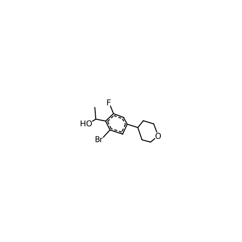 CC(O)c1c(F)cc(C2CCOCC2)cc1Br